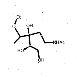 CCOC(C)[C@](O)(CCNC(C)=O)[C@H](O)CO